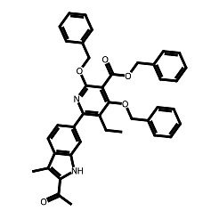 CCc1c(-c2ccc3c(C)c(C(C)=O)[nH]c3c2)nc(OCc2ccccc2)c(C(=O)OCc2ccccc2)c1OCc1ccccc1